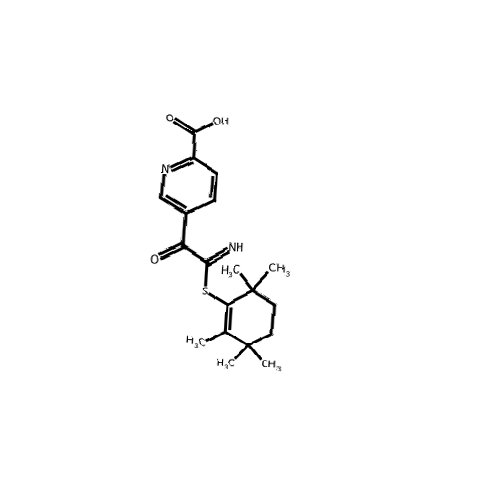 CC1=C(SC(=N)C(=O)c2ccc(C(=O)O)nc2)C(C)(C)CCC1(C)C